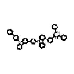 C1=CC(c2ccc(-n3c4ccccc4c4cc(-c5ccc(-n6c7ccccc7c7c(-c8cccc(-c9nc(-c%10ccccc%10)nc(-c%10ccccc%10)n9)c8)cccc76)cc5)ccc43)cc2)=CCC1